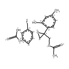 CC(=O)O.CC(=O)OCC1(c2ccc(C)cc2O)CO1.Fc1ccccc1